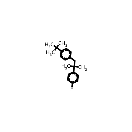 CC(C)(C)c1ccc(CC(C)(C)c2ccc(F)cc2)cc1